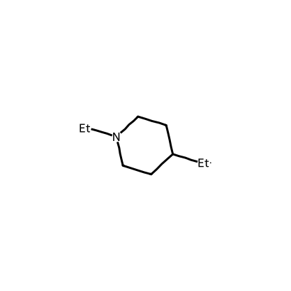 C[CH]C1CCN(CC)CC1